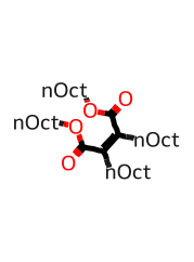 CCCCCCCCOC(=O)C(CCCCCCCC)=C(CCCCCCCC)C(=O)OCCCCCCCC